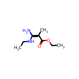 CCNC(N)=C(C)C(=O)OCC